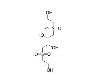 O=S(=O)(CCO)CC(O)C(O)CS(=O)(=O)CCO